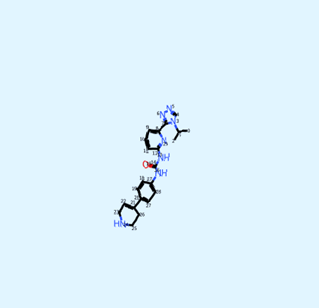 CC(C)n1cnnc1-c1cccc(NC(=O)Nc2ccc(C3=CCNCC3)cc2)n1